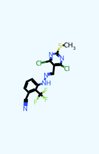 CSc1nc(Cl)c(/C=N/Nc2cccc(C#N)c2C(F)(F)F)c(Cl)n1